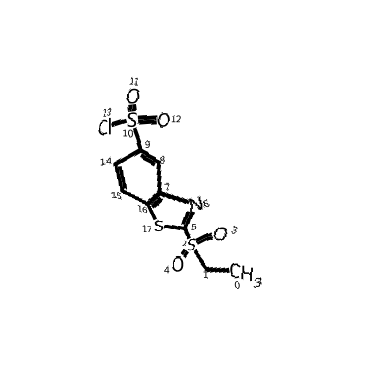 CCS(=O)(=O)c1nc2cc(S(=O)(=O)Cl)ccc2s1